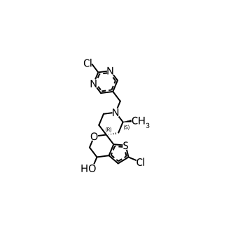 C[C@H]1C[C@@]2(CCN1Cc1cnc(Cl)nc1)OCC(O)c1cc(Cl)sc12